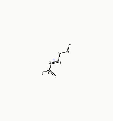 C=C(C)/C=C/CCC